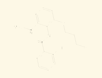 COC(=O)c1cccc(OCCCBr)c1NC(=O)c1ccccc1C(F)(F)F